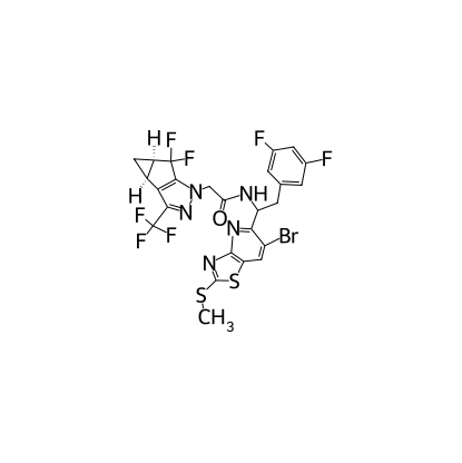 CSc1nc2nc(C(Cc3cc(F)cc(F)c3)NC(=O)Cn3nc(C(F)(F)F)c4c3C(F)(F)[C@@H]3C[C@H]43)c(Br)cc2s1